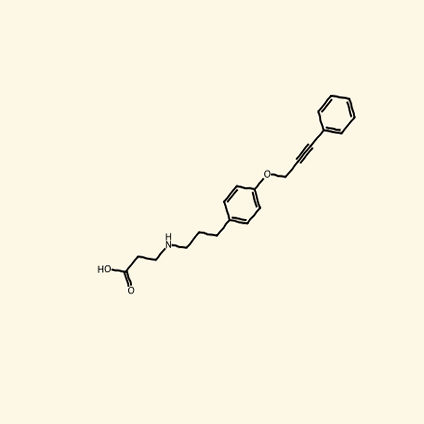 O=C(O)CCNCCCc1ccc(OCC#Cc2ccccc2)cc1